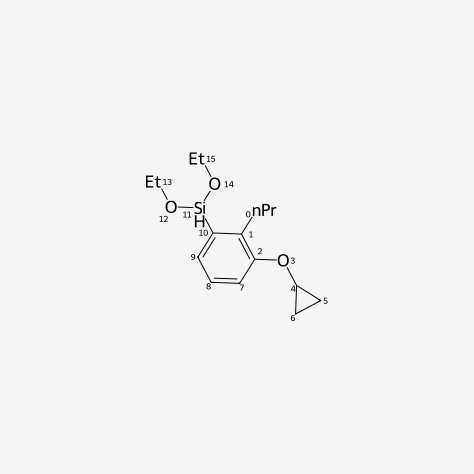 CCCc1c(OC2CC2)cccc1[SiH](OCC)OCC